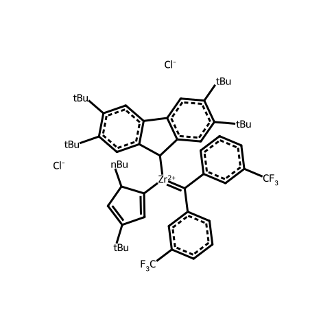 CCCCC1C=C(C(C)(C)C)C=[C]1[Zr+2](=[C](c1cccc(C(F)(F)F)c1)c1cccc(C(F)(F)F)c1)[CH]1c2cc(C(C)(C)C)c(C(C)(C)C)cc2-c2cc(C(C)(C)C)c(C(C)(C)C)cc21.[Cl-].[Cl-]